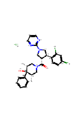 C[C@@H]1CN(C(=O)[C@@H]2CN(c3ncccn3)C[C@H]2c2ccc(F)cc2F)C[C@H](C)[C@]1(O)c1ccccc1.Cl